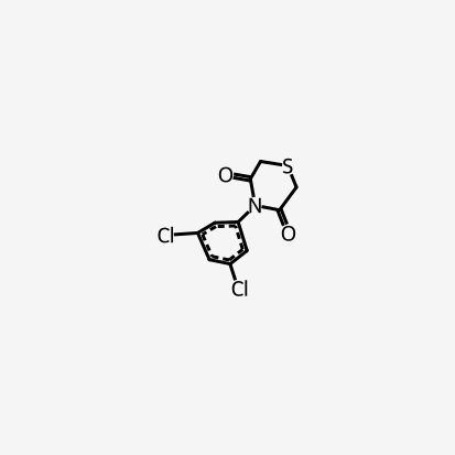 O=C1CSCC(=O)N1c1cc(Cl)cc(Cl)c1